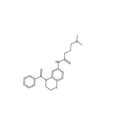 CN(C)CCCC(=O)Nc1ccc2c(c1)N(C(=O)c1ccccc1)CCS2